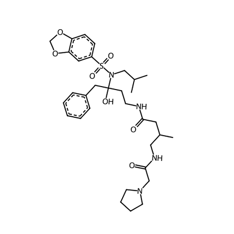 CC(C)CN(C(O)(CCNC(=O)CC(C)CNC(=O)CN1CCCC1)Cc1ccccc1)S(=O)(=O)c1ccc2c(c1)OCO2